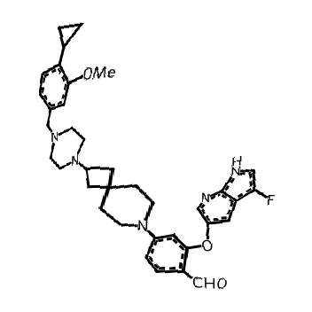 COc1cc(CN2CCN(C3CC4(CCN(c5ccc(C=O)c(Oc6cnc7[nH]cc(F)c7c6)c5)CC4)C3)CC2)ccc1C1CC1